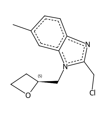 Cc1ccc2nc(CCl)n(C[C@@H]3CCO3)c2c1